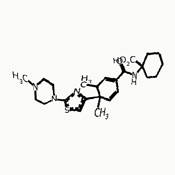 CC1C=C(C(=O)NC2(C(=O)O)CCCCC2)C=CC1(C)c1csc(N2CCN(C)CC2)n1